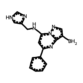 Bc1cnn2c(NCc3c[nH]cn3)cc(-c3ccccc3)nc12